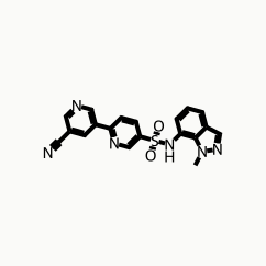 Cn1ncc2cccc(NS(=O)(=O)c3ccc(-c4cncc(C#N)c4)nc3)c21